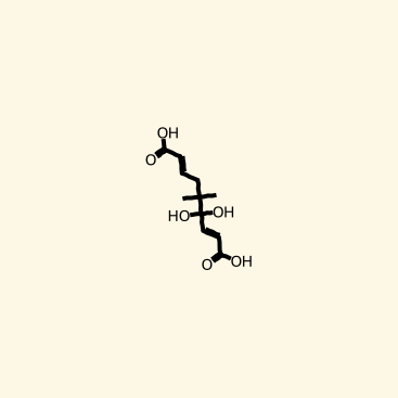 CC(C)(CC=CC(=O)O)C(O)(O)C=CC(=O)O